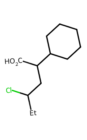 CCC(Cl)CC(C(=O)O)C1CCCCC1